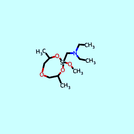 CCN(CC)C[Si]1(OC)OC(C)COCC(C)O1